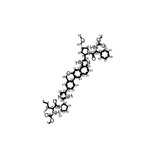 CC[C@H](C)C(NC(=O)OC)C(=O)N1[C@@H](C)CC[C@H]1c1ncc(-c2ccc3c(c2)COc2cc4c(ccc5nc(C6C[C@H](COC)CN6C(=O)[C@H](NC(=O)OC)c6ccccc6)[nH]c54)cc2-3)[nH]1